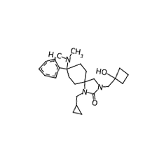 CN(C)C1(c2ccccc2)CCC2(CC1)CN(CC1(O)CCC1)C(=O)N2CC1CC1